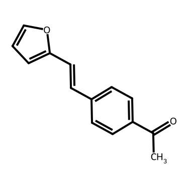 CC(=O)c1ccc(/C=C/c2ccco2)cc1